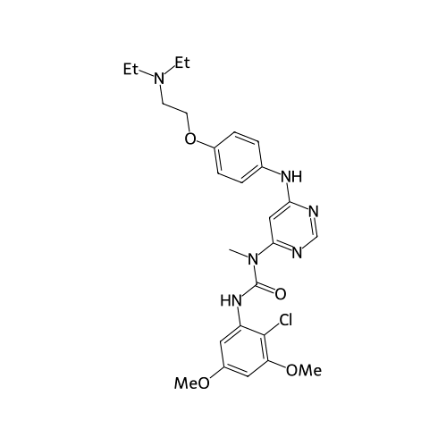 CCN(CC)CCOc1ccc(Nc2cc(N(C)C(=O)Nc3cc(OC)cc(OC)c3Cl)ncn2)cc1